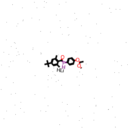 COC(C)Oc1ccc(PC(=O)c2c(C)cc(C(C)(C)C)cc2C)cc1.[LiH]